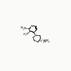 Nc1nccc(N2CCC[C@@H](N)C2)c1N